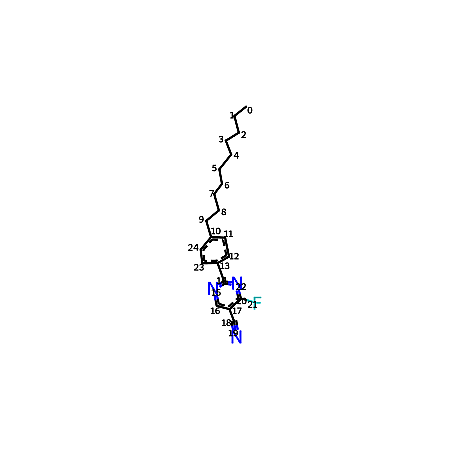 CCCCCCCCCCc1ccc(-c2ncc(C#N)c(F)n2)cc1